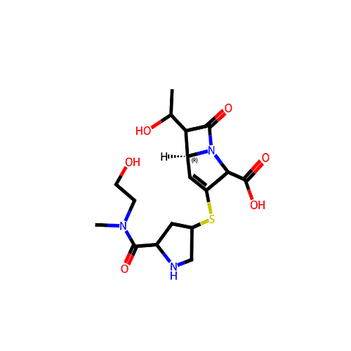 CC(O)C1C(=O)N2C(C(=O)O)C(SC3CNC(C(=O)N(C)CCO)C3)=C[C@@H]12